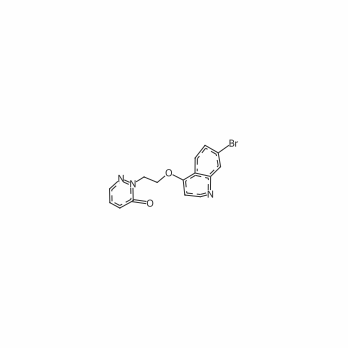 O=c1cccnn1CCOc1ccnc2cc(Br)ccc12